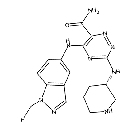 NC(=O)c1nnc(N[C@H]2CCCNC2)nc1Nc1ccc2c(cnn2CF)c1